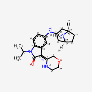 CC(C)N1C(=O)/C(=C2/COCCN2)c2cc(NC3C[C@H]4CC[C@@H](C3)N4C)ccc21